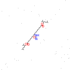 CC(C)CCC(COC(=O)CCCCCCCCCC(CCCCCCCCCC(=O)OCC(CCC(C)C)C(C)C)NC(=O)CN(C)C)C(C)C